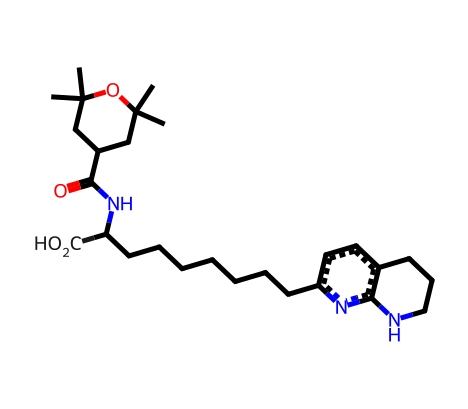 CC1(C)CC(C(=O)NC(CCCCCCCc2ccc3c(n2)NCCC3)C(=O)O)CC(C)(C)O1